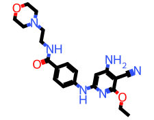 CCOc1nc(Nc2ccc(C(=O)NCCN3CCOCC3)cc2)cc(N)c1C#N